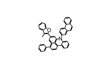 Cc1c(-c2cccc(N(c3ccc4c(ccc5ccccc54)c3)c3ccccc3-c3ccc(-c4ccccc4)cc3)c2)oc2ccccc12